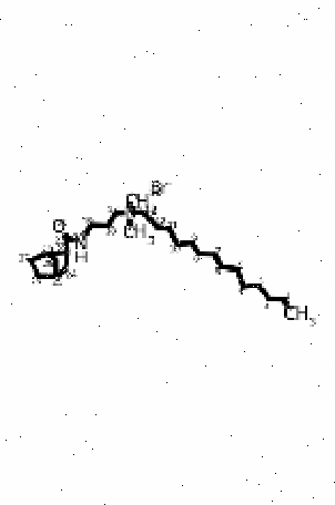 CCCCCCCCCCCCCC[N+](C)(C)CCCNC(=O)C1CC2CCC1C2.[Br-]